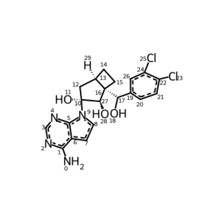 Nc1ncnc2c1ccn2[C@@]1(O)C[C@H]2CC[C@@]2(C(O)c2ccc(Cl)c(Cl)c2)[C@H]1O